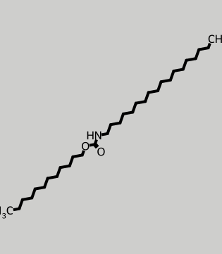 CCCCCCCCCCCCCCCCCCNC(=O)OCCCCCCCCCCCC